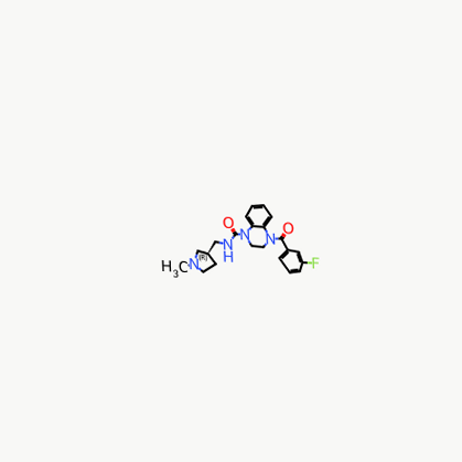 CN1CC[C@H](CNC(=O)N2CCN(C(=O)c3cccc(F)c3)c3ccccc32)C1